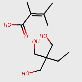 CC(C)=C(C)C(=O)O.CCC(CO)(CO)CO